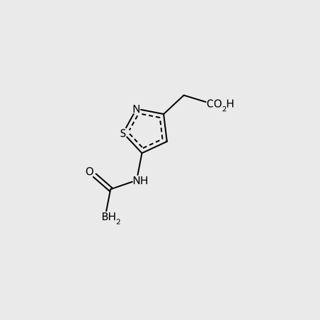 BC(=O)Nc1cc(CC(=O)O)ns1